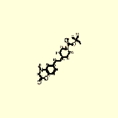 CN1CC(=O)Oc2ccc(CCC3CCN(C(=O)OC(C)(C)C)CC3)cc21